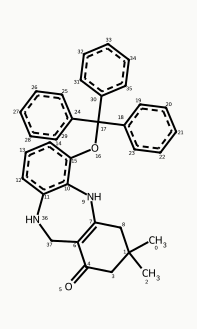 CC1(C)CC(=O)C2=C(C1)Nc1c(cccc1OC(c1ccccc1)(c1ccccc1)c1ccccc1)NC2